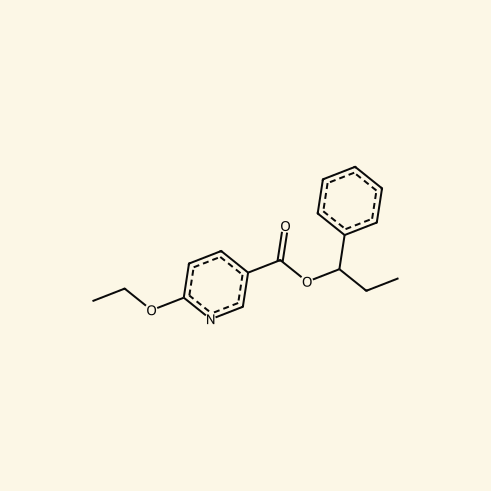 CCOc1ccc(C(=O)OC(CC)c2ccccc2)cn1